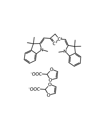 CN1C(=CC2=[C+][C+](C=C3N(C)c4ccccc4C3(C)C)C2)C(C)(C)c2ccccc21.O=C([O-])C1OC=CO1.O=C([O-])C1OC=CO1